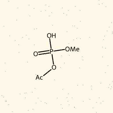 COP(=O)(O)OC(C)=O